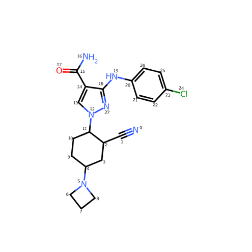 N#CC1CC(N2CCC2)CCC1n1cc(C(N)=O)c(Nc2ccc(Cl)cc2)n1